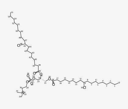 CCCCCCCCCC(Cl)CCCCCCCC(=O)OC[C@H](COP(=O)([O-])OCC[N+](C)(C)C)OC(=O)CCCCCCCC(Cl)CCCCCCCCC